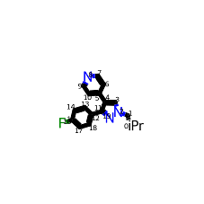 CC(C)Cn1cc(-c2ccncc2)c(-c2ccc(F)cc2)n1